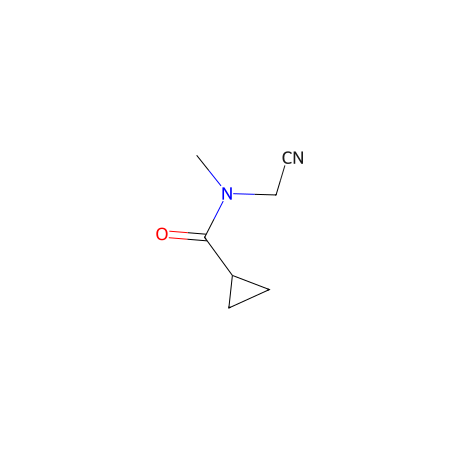 CN(CC#N)C(=O)C1CC1